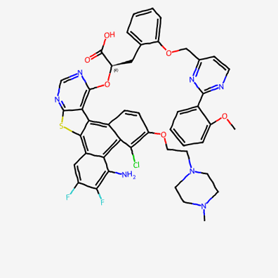 COc1ccccc1-c1nccc(COc2ccccc2C[C@@H](Oc2ncnc3sc4c5cc(F)c(F)c(N)c5c5c(Cl)c(OCCN6CCN(C)CC6)ccc5c4c23)C(=O)O)n1